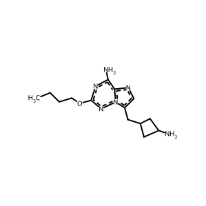 CCCCOc1nc(N)c2ncc(CC3CC(N)C3)n2n1